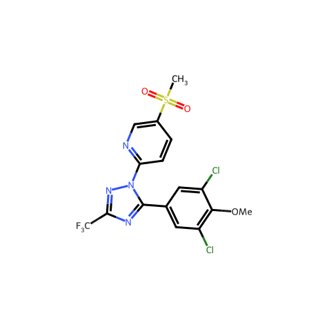 COc1c(Cl)cc(-c2nc(C(F)(F)F)nn2-c2ccc(S(C)(=O)=O)cn2)cc1Cl